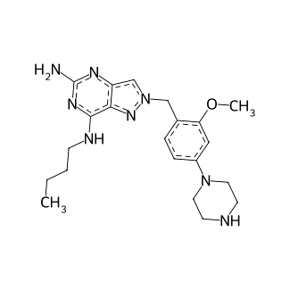 CCCCNc1nc(N)nc2cn(Cc3ccc(N4CCNCC4)cc3OC)nc12